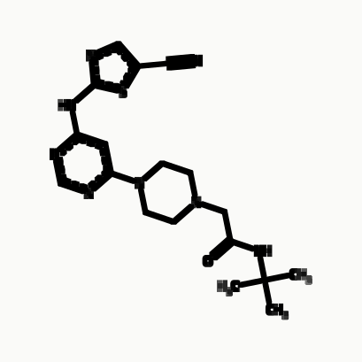 CC(C)(C)NC(=O)CN1CCN(c2cc(Nc3ncc(C#N)s3)ncn2)CC1